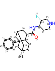 CC[C@@]12CCC3C(C(=O)N[C@@H]4CCNC[C@H]4F)CC(C1)C[C@@]3(c1ccccc1)C2